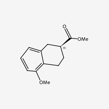 COC(=O)[C@H]1CCc2c(cccc2OC)C1